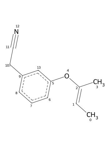 CC=C(C)Oc1cccc([CH]C#N)c1